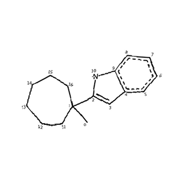 CC1(C2=Cc3ccccc3[N]2)CCCCCC1